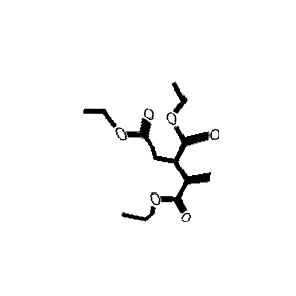 C=C(C(=O)OCC)C(CC(=O)OCC)C(=O)OCC